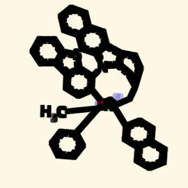 CC1C/C=C2/C(=C(c3ccc4ccccc4c3)\N=C/1c1ccccc1)Cc1ccc3c4cc5ccccc5cc4n(c3c1)-c1c2ccc2c1sc1ccccc12